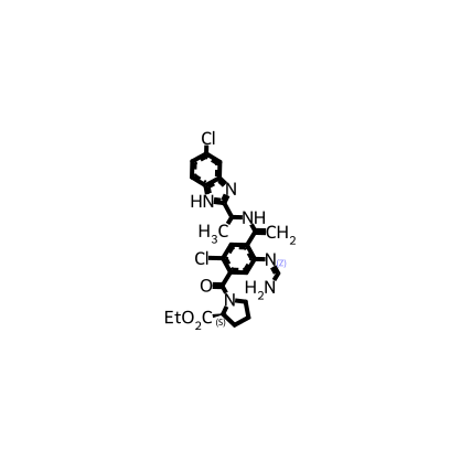 C=C(NC(C)c1nc2cc(Cl)ccc2[nH]1)c1cc(Cl)c(C(=O)N2CCC[C@H]2C(=O)OCC)cc1/N=C\N